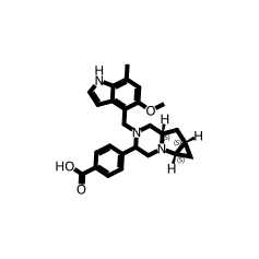 COc1cc(C)c2[nH]ccc2c1CN1C[C@@H]2C[C@@H]3C[C@@H]3N2CC1c1ccc(C(=O)O)cc1